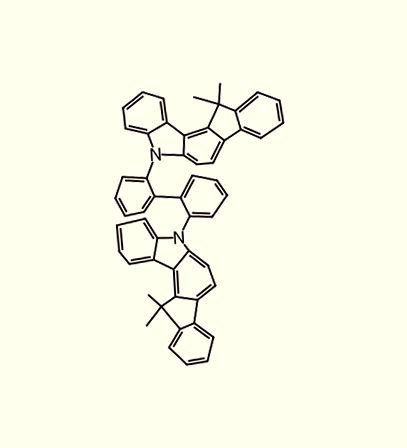 CC1(C)c2ccccc2-c2ccc3c(c21)c1ccccc1n3-c1ccccc1-c1ccccc1-n1c2ccccc2c2c3c(ccc21)-c1ccccc1C3(C)C